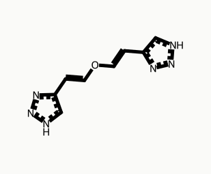 C(=Cc1c[nH]nn1)OC=Cc1c[nH]nn1